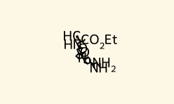 C#CC(CC(=O)OCC)NC(=O)CC1CCN(c2ccc(C(=N)N)cc2)C1=O